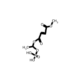 COC(=O)C=CC(=O)OC(C)OP(=O)(O)O